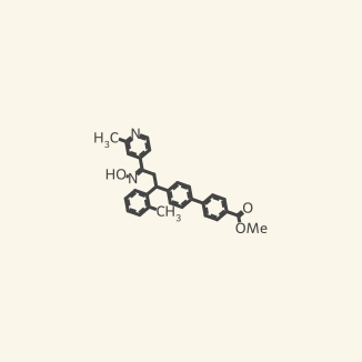 COC(=O)c1ccc(-c2ccc(C(CC(=NO)c3ccnc(C)c3)c3ccccc3C)cc2)cc1